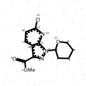 COC(=O)c1nn(C2CCCCO2)c2nc(Cl)ccc12